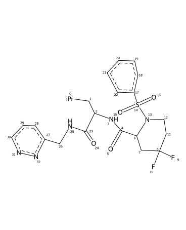 CC(C)CC(NC(=O)C1CC(F)(F)CCN1S(=O)(=O)c1ccccc1)C(=O)NCc1cccnn1